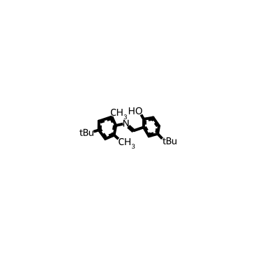 Cc1cc(C(C)(C)C)cc(C)c1/N=C/c1cc(C(C)(C)C)ccc1O